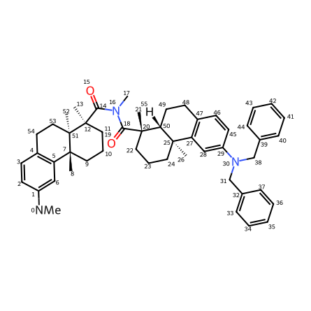 CNc1ccc2c(c1)[C@@]1(C)CCC[C@](C)(C(=O)N(C)C(=O)[C@@]3(C)CCC[C@]4(C)c5cc(N(Cc6ccccc6)Cc6ccccc6)ccc5CC[C@@H]34)[C@]1(C)CC2